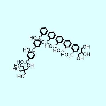 O=C(O)c1ccccc1.O=C(O)c1ccccc1.O=C(O)c1ccccc1.O=C(O)c1ccccc1.O=C(O)c1ccccc1.O=C(O)c1ccccc1.O=C(O)c1ccccc1.OCC(CO)(CO)CO.OCC(O)CO